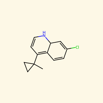 CC1(C2=C3C=CC(Cl)=CC3NC=C2)CC1